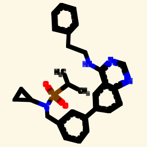 CC(C)S(=O)(=O)N(Cc1cccc(-c2ccc3ncnc(NCCc4ccccc4)c3c2)c1)C1CC1